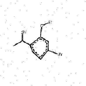 CCOc1cc(C(C)C)ccc1C(C)S